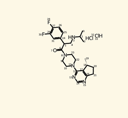 CC(C)NCC(C(=O)N1CCN(c2ncnc3c2[C@H](C)CC3)CC1)c1ccc(F)c(F)c1.Cl.Cl